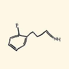 N=CCCc1ccccc1F